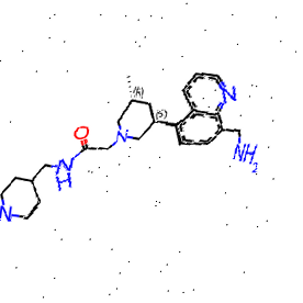 C[C@@H]1C[C@@H](c2ccc(CN)c3ncccc23)CN(CC(=O)NCC2CCN(C)CC2)C1